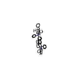 CN(C)C(=O)O/N=C(\c1ccccc1)c1cc2ccc(/C(=N/OC(=O)NCC3CCCCC3)c3ccccc3)cc2oc1=O